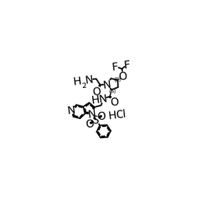 Cl.NCC(=O)N1C[C@H](OC(F)F)C[C@H]1C(=O)NCc1cc2cnccc2n1S(=O)(=O)c1ccccc1